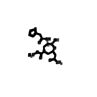 COC(=O)N1CC(CC(C)=O)OB(O)[C@@H](NC(=O)Cc2cccs2)C1